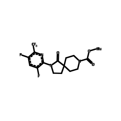 CC(C)(C)OC(=O)N1CCC2(CC1)CCN(c1nc(C(F)(F)F)c(F)cc1F)C2=O